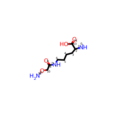 CNC(CCCCNC(=O)CON)C(=O)O